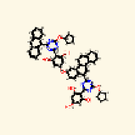 Oc1cc(O)c(-c2nc(OC3CCCC3)nc(-c3cc4c5ccccc5ccc4c4cc(Oc5cc(O)c(-c6nc(OC7CCCC7)nc(-c7c8ccccc8cc8ccccc78)n6)c(O)c5)ccc34)n2)c(O)c1